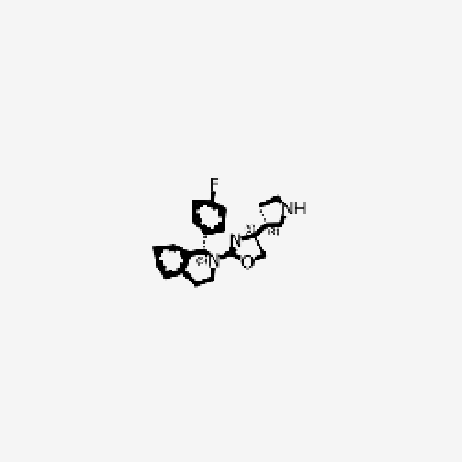 Fc1ccc([C@H]2c3ccccc3CCN2C2=N[C@@H]([C@@H]3CCNC3)CO2)cc1